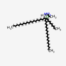 CCCC.CCCCCCCCCCCCCCCCCCCCC(Cl)(CCCCCCCCC)CCCCCCCCCCCCCCCCCCCC.N